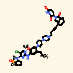 CCCc1cc(Nc2ncc(Cl)c(Nc3ccccc3P(C)(C)=O)n2)c(OC)cc1N1CCC(N2CCN(CCC#Cc3cccc4c3CN(C3CCC(=O)NC3=O)C4=O)CC2)CC1